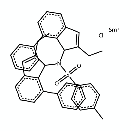 CCC1=Cc2cccc(-c3ccccc3)c2C1N(C1C(CC)=Cc2cccc(-c3ccccc3)c21)S(=O)(=O)c1ccc(C)cc1.[Cl-].[Sm+]